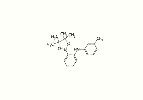 CC1(C)OB(c2ccccc2Nc2cccc(C(F)(F)F)c2)OC1(C)C